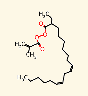 C=C(C)C(=O)OOC(=O)C(CC)CCCCCC/C=C\C/C=C\CCCCC